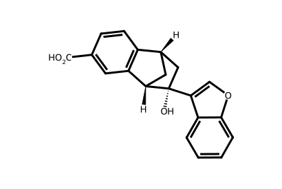 O=C(O)c1ccc2c(c1)[C@@H]1C[C@H]2C[C@@]1(O)c1coc2ccccc12